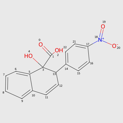 O=C(O)C1(O)c2ccccc2C=CC1c1ccc([N+](=O)[O-])cc1